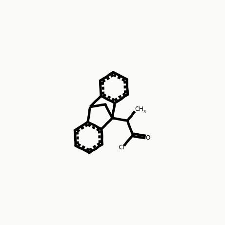 CC(C(=O)Cl)C12CC(c3ccccc31)c1ccccc12